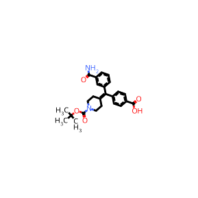 CC(C)(C)OC(=O)N1CCC(=C(c2ccc(C(=O)O)cc2)c2cccc(C(N)=O)c2)CC1